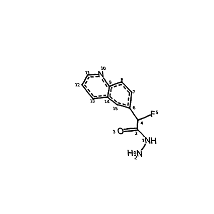 NNC(=O)C(F)c1ccc2ncccc2c1